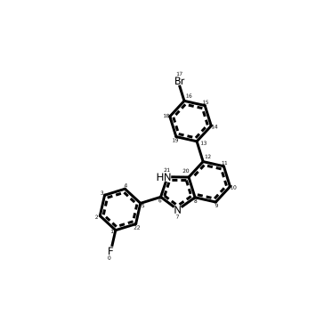 Fc1cccc(-c2nc3cccc(-c4ccc(Br)cc4)c3[nH]2)c1